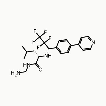 CC(C)C[C@H](N[C@@H](c1ccc(-c2ccncc2)cc1)C(F)(F)C(F)(F)F)C(=O)NCN